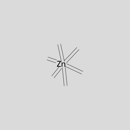 [CH2]=[Zn](=[CH2])(=[CH2])(=[CH2])(=[CH2])=[CH2]